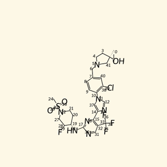 C[C@@]1(O)CCN(Cc2ccc(-n3cnc(-c4nc(N[C@H]5CCN(S(C)(=O)=O)CC5F)ncc4C(F)(F)F)c3)c(Cl)c2)C1